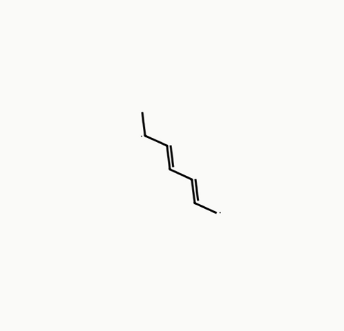 [CH2]/C=C/C=C/[CH]C